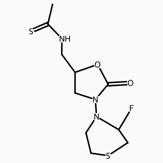 CC(=S)NCC1CN(N2CCSCC2F)C(=O)O1